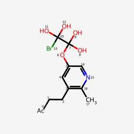 CC(=O)CCc1cc(OC(O)(O)C(O)(O)Br)cnc1C